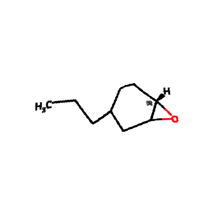 CCCC1CC[C@@H]2OC2C1